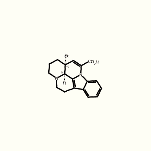 CC[C@@]12C=C(C(=O)O)n3c4c(c5ccccc53)CCN(CCC1)[C@H]42